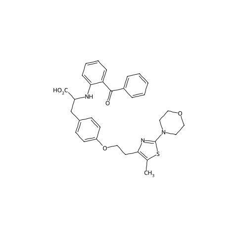 Cc1sc(N2CCOCC2)nc1CCOc1ccc(CC(Nc2ccccc2C(=O)c2ccccc2)C(=O)O)cc1